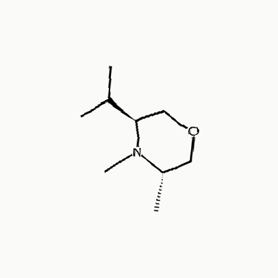 CC(C)[C@H]1COC[C@H](C)N1C